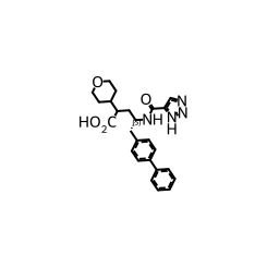 O=C(N[C@H](Cc1ccc(-c2ccccc2)cc1)CC(C(=O)O)C1CCOCC1)c1cnn[nH]1